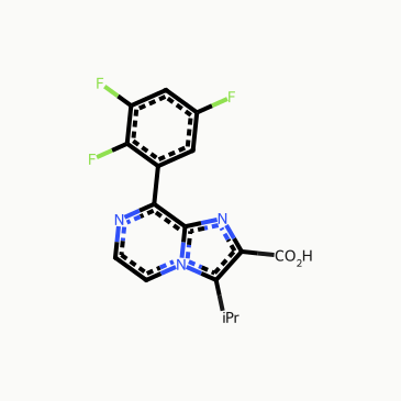 CC(C)c1c(C(=O)O)nc2c(-c3cc(F)cc(F)c3F)nccn12